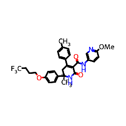 COc1ccc(NC(=O)C2=C(c3ccc(C)cc3)C[C@](c3ccc(OCCCC(F)(F)F)cc3)(C(F)(F)F)NC2=O)cn1